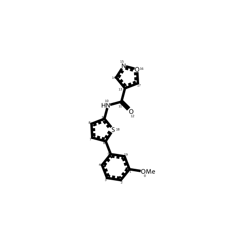 COc1cccc(-c2ccc(NC(=O)c3cnoc3)s2)c1